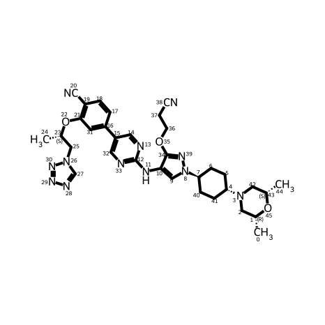 C[C@@H]1CN([C@H]2CC[C@H](n3cc(Nc4ncc(-c5ccc(C#N)c(O[C@@H](C)Cn6cnnn6)c5)cn4)c(OCCC#N)n3)CC2)C[C@H](C)O1